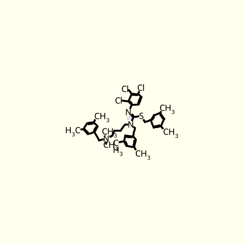 Cc1cc(C)cc(CS/C(=N\c2ccc(Cl)c(Cl)c2Cl)N(CCCC[N+](C)(C)Cc2cc(C)cc(C)c2)Cc2cc(C)cc(C)c2)c1